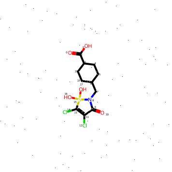 O=C(O)C1CCC(CN2C(=O)C(Cl)=C(Cl)S2(O)O)CC1